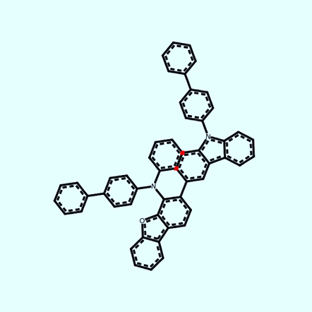 c1ccc(-c2ccc(N(c3ccccc3)c3c(-c4ccc5c(c4)c4ccccc4n5-c4ccc(-c5ccccc5)cc4)ccc4c3oc3ccccc34)cc2)cc1